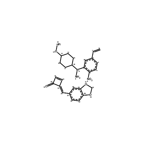 C=Cc1ccc([N+](=O)[O-])c(N(N)C2CCC(OCCC)CC2)c1.O=C1C=CC1=Cc1ccc2c(c1)OCO2